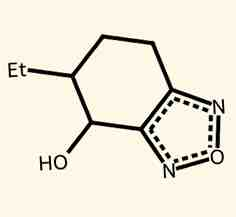 CCC1CCc2nonc2C1O